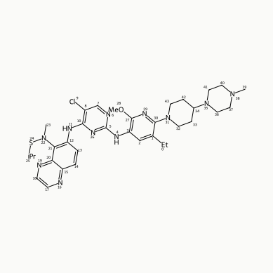 CCc1cc(Nc2ncc(Cl)c(Nc3ccc4nccnc4c3N(C)SC(C)C)n2)c(OC)nc1N1CCC(N2CCN(C)CC2)CC1